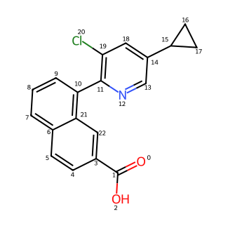 O=C(O)c1ccc2cccc(-c3ncc(C4CC4)cc3Cl)c2c1